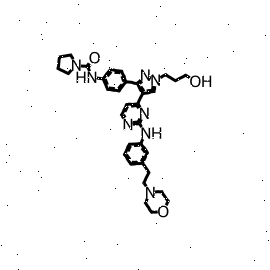 O=C(Nc1ccc(-c2nn(CCCO)cc2-c2ccnc(Nc3cccc(CCN4CCOCC4)c3)n2)cc1)N1CCCC1